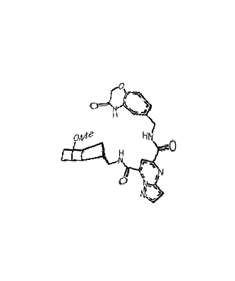 COC12C3C4C1C1C2C3C41CNC(=O)c1cc(C(=O)NCc2ccc3c(c2)NC(=O)CO3)nc2ccnn12